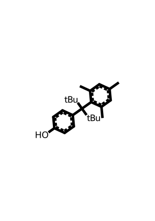 Cc1cc(C)c(C(c2ccc(O)cc2)(C(C)(C)C)C(C)(C)C)c(C)c1